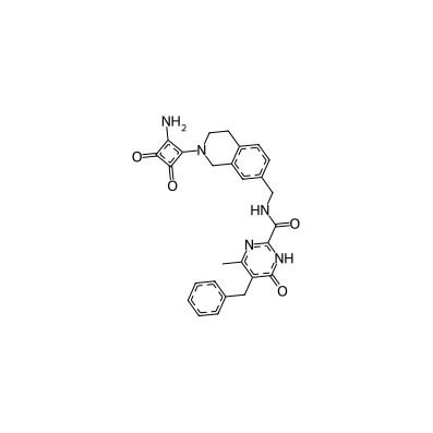 Cc1nc(C(=O)NCc2ccc3c(c2)CN(c2c(N)c(=O)c2=O)CC3)[nH]c(=O)c1Cc1ccccc1